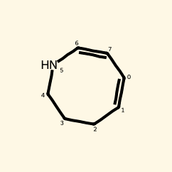 C1=CCCCNC=C1